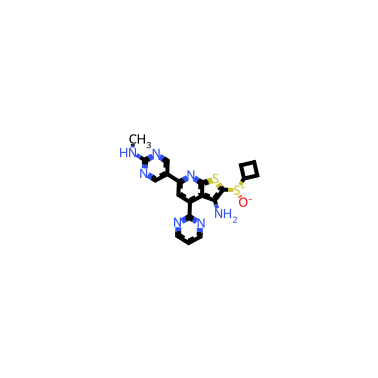 CNc1ncc(-c2cc(-c3ncccn3)c3c(N)c([S+]([O-])C4CCC4)sc3n2)cn1